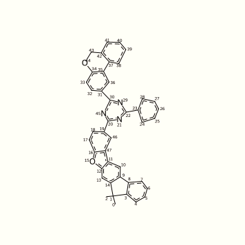 CC1(C)c2ccccc2-c2cc3c(cc21)oc1ccc(-c2nc(-c4ccccc4)nc(-c4ccc5c(c4)-c4ccccc4CO5)n2)cc13